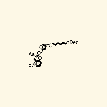 CCCCCCCCCCCCCCCCOC[C@H]1CO[C@H](COC(=O)N(Cc2cccc[n+]2CC)C(C)=O)C1.[I-]